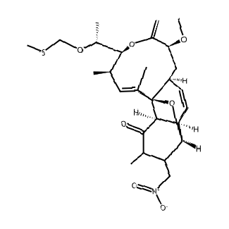 C=C1O[C@H]([C@@H](C)OCSC)[C@H](C)/C=C(\C)[C@@]23O[C@H]4C(C[N+](=O)[O-])C(C)C(=O)[C@@H]2[C@H]4C=C[C@@H]3C[C@@H]1OC